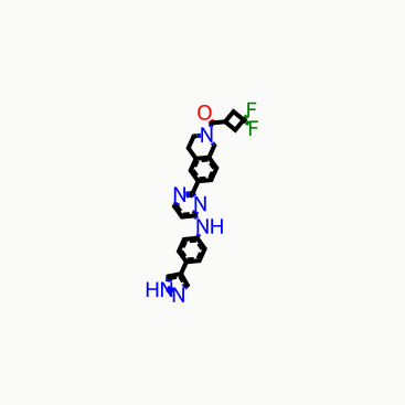 O=C(C1CC(F)(F)C1)N1CCc2cc(-c3nccc(Nc4ccc(-c5cn[nH]c5)cc4)n3)ccc2C1